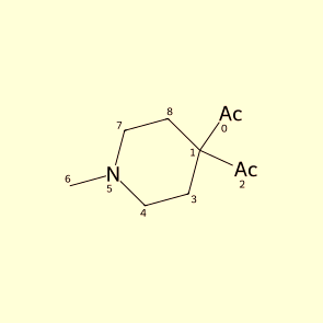 CC(=O)C1(C(C)=O)CCN(C)CC1